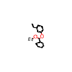 C=Cc1cccc(OC(OCC)c2ccccc2)c1